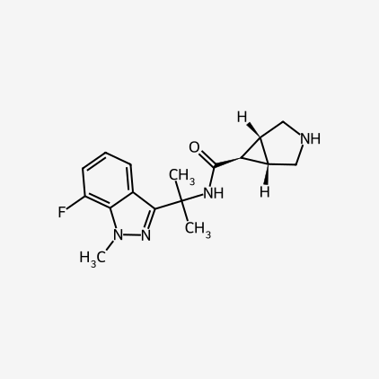 Cn1nc(C(C)(C)NC(=O)[C@H]2[C@@H]3CNC[C@@H]32)c2cccc(F)c21